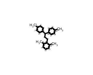 Cc1ccc(C(CCc2c(C)c[c]cc2C)c2ccc(C)cc2)cc1